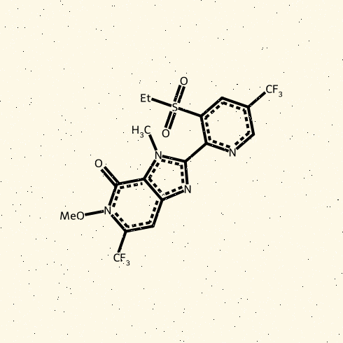 CCS(=O)(=O)c1cc(C(F)(F)F)cnc1-c1nc2cc(C(F)(F)F)n(OC)c(=O)c2n1C